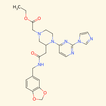 CCOC(=O)CN1CCN(c2ccnc(-n3ccnc3)n2)C(CC(=O)NCc2ccc3c(c2)OCO3)C1